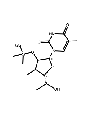 Cc1cn([C@@H]2O[C@H](C(C)O)C(C)C2O[Si](C)(C)C(C)(C)C)c(=O)[nH]c1=O